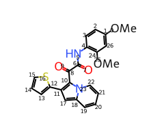 COc1ccc(NC(=O)C(=O)c2c(-c3cccs3)cc3ccccn23)c(OC)c1